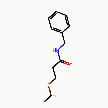 O=C(CCSBI)NCc1ccccc1